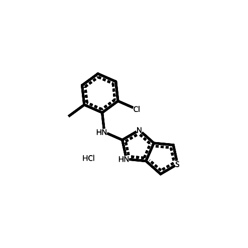 Cc1cccc(Cl)c1Nc1nc2cscc2[nH]1.Cl